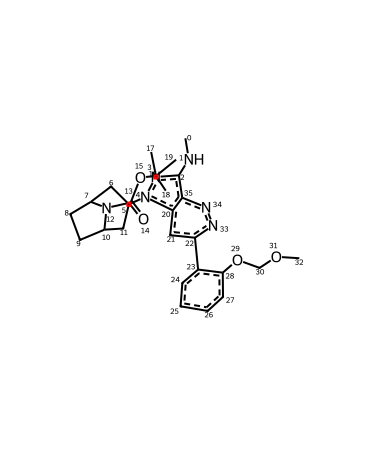 CNc1nn(C2CC3CCC(C2)N3C(=O)OC(C)(C)C)c2cc(-c3ccccc3OCOC)nnc12